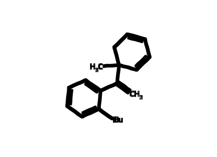 C=C(c1ccccc1C(C)CC)C1(C)C=CC=CC1